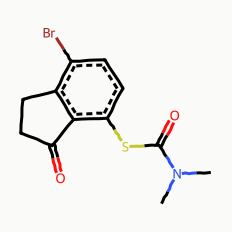 CN(C)C(=O)Sc1ccc(Br)c2c1C(=O)CC2